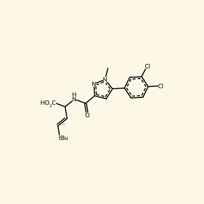 Cn1nc(C(=O)NC(/C=C/C(C)(C)C)C(=O)O)cc1-c1ccc(Cl)c(Cl)c1